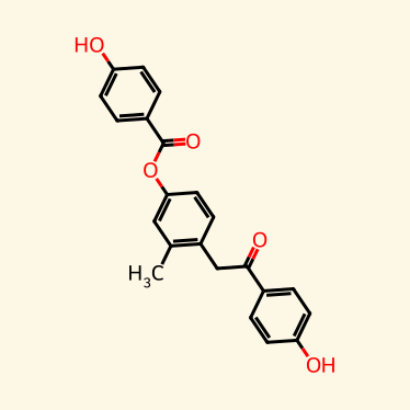 Cc1cc(OC(=O)c2ccc(O)cc2)ccc1CC(=O)c1ccc(O)cc1